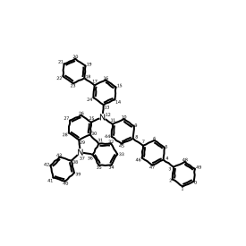 c1ccc(-c2ccc(-c3ccc(N(c4cccc(-c5ccccc5)c4)c4cccc5c4c4ccccc4n5-c4ccccc4)cc3)cc2)cc1